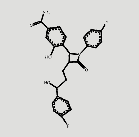 NC(=O)c1ccc(C2C(CCC(O)c3ccc(F)cc3)C(=O)N2c2ccc(F)cc2)c(O)c1